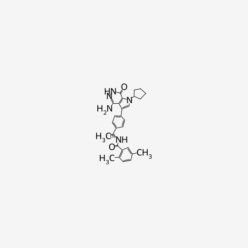 Cc1ccc(C)c(C(=O)N[C@@H](C)c2ccc(-c3cn(C4CCCC4)c4c(=O)[nH]nc(N)c34)cc2)c1